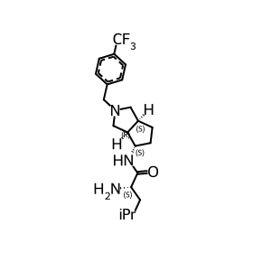 CC(C)C[C@H](N)C(=O)N[C@H]1CC[C@@H]2CN(Cc3ccc(C(F)(F)F)cc3)C[C@@H]21